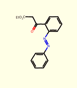 CCOC(=O)CC(=O)c1ccccc1N=Nc1ccccc1